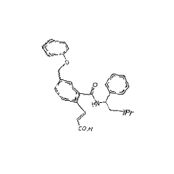 CC(C)CC(NC(=O)c1cc(COc2ccccc2)ccc1C=CC(=O)O)c1ccccc1